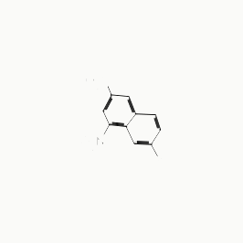 O=C(O)c1cc([N+](=O)[O-])c2cc(Cl)ccc2c1